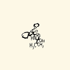 CC(C)[C@@H](NC(=O)c1cc2c(n(CCN3CCCCC3)c1=O)CCCCCC2)C(=O)O